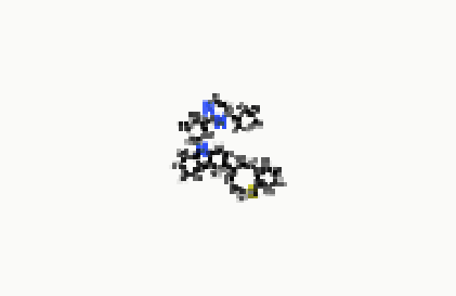 c1ccc(-c2ccnc(-c3cccc(-n4c5ccccc5c5cc(-c6cccsc7ccccc7cc6)ccc54)c3)n2)cc1